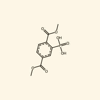 COC(=O)c1ccc(C(=O)OC)c(P(=O)(O)O)c1